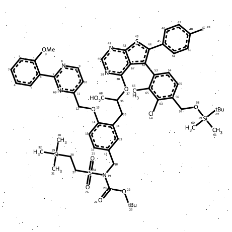 COc1ccccc1-c1nccc(COc2ccc(CN(C(=O)OC(C)(C)C)S(=O)(=O)CC[Si](C)(C)C)cc2CC(Oc2ncnc3sc(-c4ccc(F)cc4)c(-c4ccc(CO[Si](C)(C)C(C)(C)C)c(Cl)c4C)c23)C(=O)O)n1